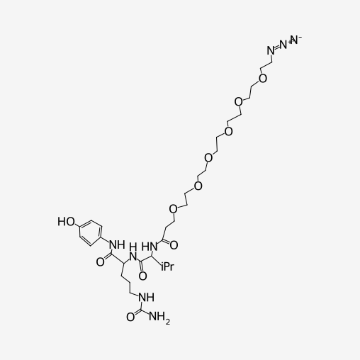 CC(C)C(NC(=O)CCOCCOCCOCCOCCOCCOCCN=[N+]=[N-])C(=O)NC(CCCNC(N)=O)C(=O)Nc1ccc(O)cc1